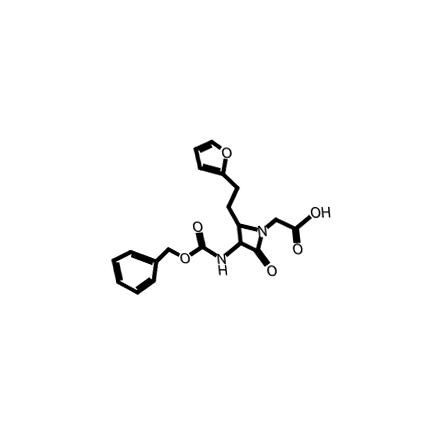 O=C(O)CN1C(=O)C(NC(=O)OCc2ccccc2)C1CCc1ccco1